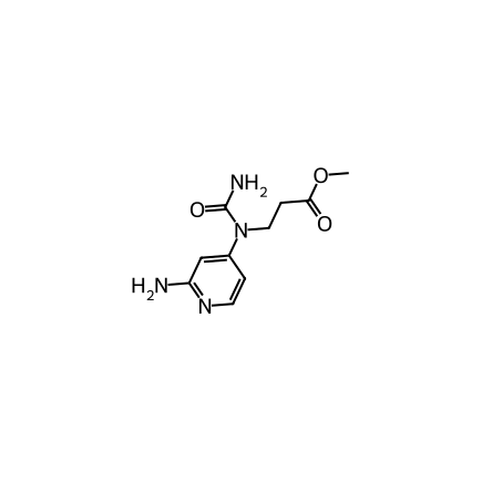 COC(=O)CCN(C(N)=O)c1ccnc(N)c1